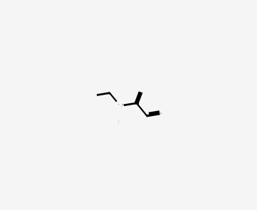 C=CC(=O)NCC.Cl